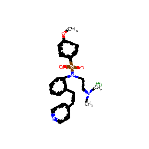 COc1ccc(S(=O)(=O)N(CCN(C)C)c2ccccc2C=Cc2ccncc2)cc1.Cl